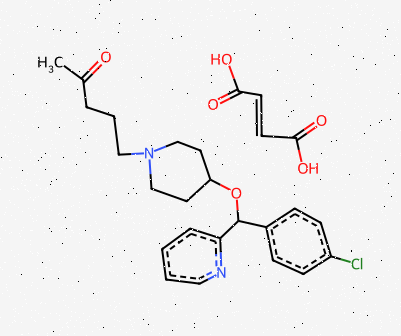 CC(=O)CCCN1CCC(OC(c2ccc(Cl)cc2)c2ccccn2)CC1.O=C(O)/C=C/C(=O)O